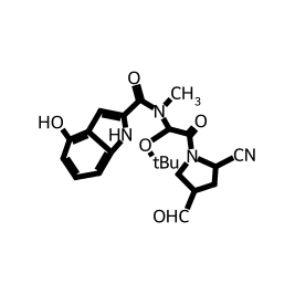 CN(C(=O)c1cc2c(O)cccc2[nH]1)C(OC(C)(C)C)C(=O)N1CC(C=O)CC1C#N